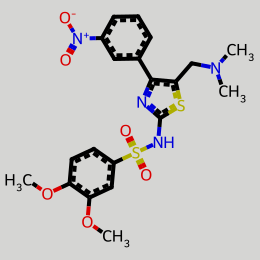 COc1ccc(S(=O)(=O)Nc2nc(-c3cccc([N+](=O)[O-])c3)c(CN(C)C)s2)cc1OC